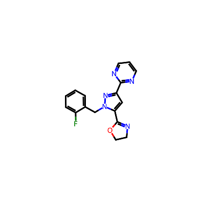 Fc1ccccc1Cn1nc(-c2ncccn2)cc1C1=NCCO1